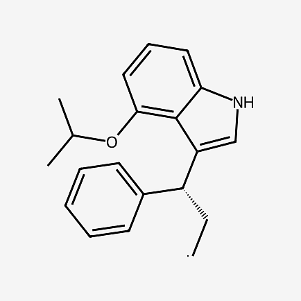 [CH2]C[C@H](c1ccccc1)c1c[nH]c2cccc(OC(C)C)c12